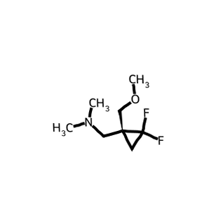 COC[C@]1(CN(C)C)CC1(F)F